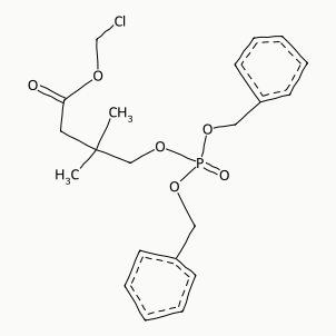 CC(C)(COP(=O)(OCc1ccccc1)OCc1ccccc1)CC(=O)OCCl